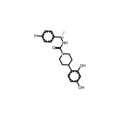 C[C@H](NC(=O)N1CCC(c2ccc(O)cc2O)CC1)c1ccc(F)cc1